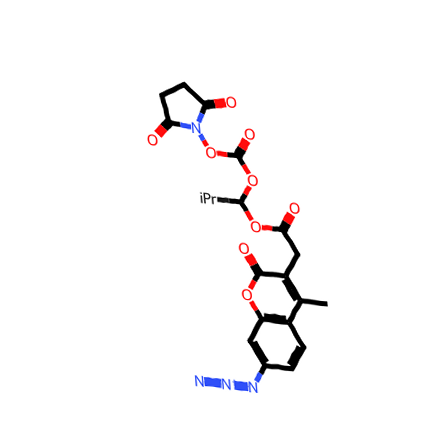 Cc1c(CC(=O)OC(OC(=O)ON2C(=O)CCC2=O)C(C)C)c(=O)oc2cc(N=[N+]=[N-])ccc12